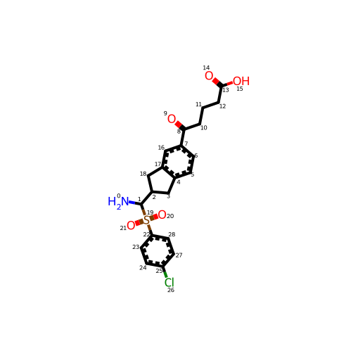 NC(C1Cc2ccc(C(=O)CCCC(=O)O)cc2C1)S(=O)(=O)c1ccc(Cl)cc1